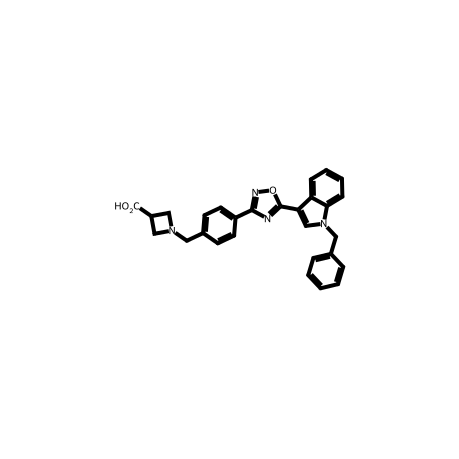 O=C(O)C1CN(Cc2ccc(-c3noc(-c4cn(Cc5ccccc5)c5ccccc45)n3)cc2)C1